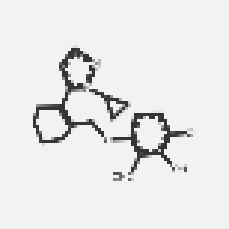 O=Cc1c(OCC2=C(c3ccnn3C3CC3)CCCC2)ccc(Cl)c1O